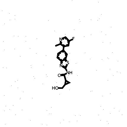 Cc1ncc(F)cc1-c1ccc2nc(NC(=O)C3CC3CO)sc2c1